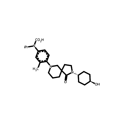 Cc1cc(N(C(=O)O)C(C)C)ccc1N1CCCC2(CCN([C@H]3CC[C@H](O)CC3)C2=O)C1